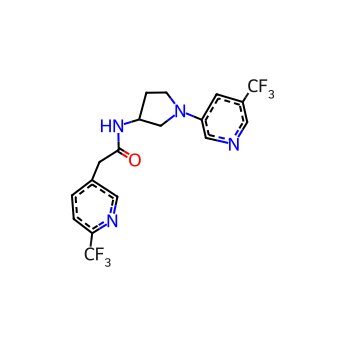 O=C(Cc1ccc(C(F)(F)F)nc1)NC1CCN(c2cncc(C(F)(F)F)c2)C1